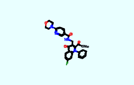 COC(=O)c1c(CNC(=O)c2ccc(N3CCOCC3)nc2)c(=O)c2ccc(F)cc2n1-c1ccccc1